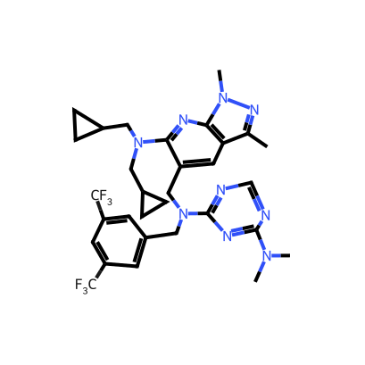 Cc1nn(C)c2nc(N(CC3CC3)CC3CC3)c(CN(Cc3cc(C(F)(F)F)cc(C(F)(F)F)c3)c3ncnc(N(C)C)n3)cc12